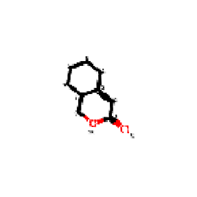 O=C1C=C2CCCCC2CO1